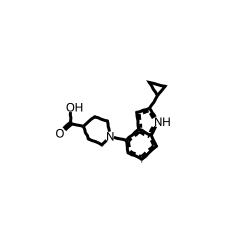 O=C(O)C1CCN(c2c[c]cc3[nH]c(C4CC4)cc23)CC1